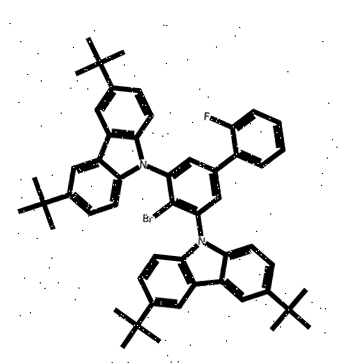 CC(C)(C)c1ccc2c(c1)c1cc(C(C)(C)C)ccc1n2-c1cc(-c2ccccc2F)cc(-n2c3ccc(C(C)(C)C)cc3c3cc(C(C)(C)C)ccc32)c1Br